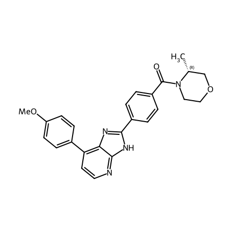 COc1ccc(-c2ccnc3[nH]c(-c4ccc(C(=O)N5CCOC[C@H]5C)cc4)nc23)cc1